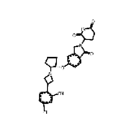 N#Cc1cc(Cl)ccc1C1CN(C2CCC[C@@H]2Oc2ccc3c(c2)CN(C2CCC(=O)NC2=O)C3=O)C1